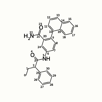 CCC(C(=O)Nc1ccc(-c2cccc3ccccc23)c(C(N)=O)c1)c1ccccc1